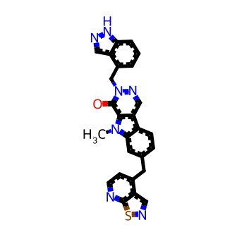 Cn1c2cc(Cc3ccnc4sncc34)ccc2c2cnn(Cc3cccc4[nH]ncc34)c(=O)c21